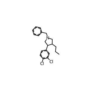 CCCC1CN(Cc2ccccc2)CC1c1ccc(Cl)c(Cl)c1